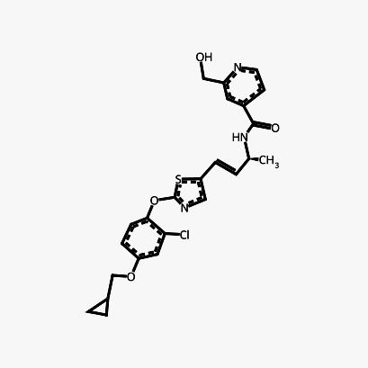 C[C@@H](/C=C/c1cnc(Oc2ccc(OCC3CC3)cc2Cl)s1)NC(=O)c1ccnc(CO)c1